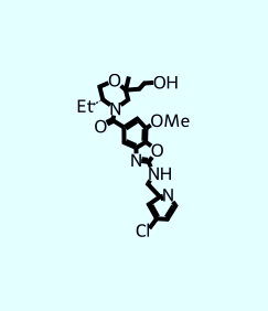 CC[C@@H]1COC(C)(CCO)CN1C(=O)c1cc(OC)c2oc(NCc3cc(Cl)ccn3)nc2c1